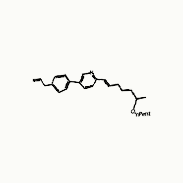 C=CCc1ccc(-c2ccc(C=CCCCC(C)OCCCCC)nc2)cc1